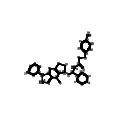 C[C@H]1C2=CNN(c3cccnc3)C2=CC2=C1[C@@H](CC(NC(=O)CCc1ccc(O)cc1)c1ccccc1)CC2